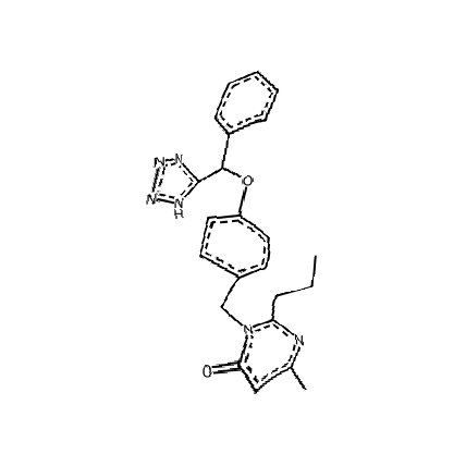 CCCc1nc(C)cc(=O)n1Cc1ccc(OC(c2ccccc2)c2nnn[nH]2)cc1